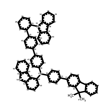 CC1(C)c2ccccc2-c2ccc(-c3ccc(N(c4ccc(-c5ccc(-c6ccccc6-n6c7ccccc7c7ccccc76)cc5)cc4)c4cccc5sc6ccccc6c45)cc3)cc21